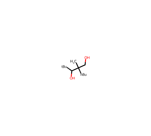 CCCCC(C)(CO)C(O)C(C)(C)C